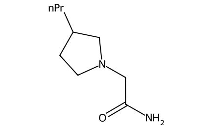 CCCC1CCN(CC(N)=O)C1